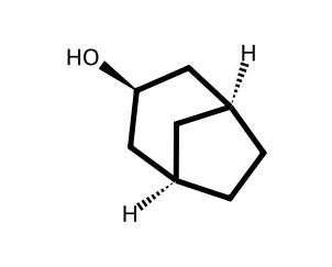 O[C@H]1C[C@H]2CC[C@@H](C1)C2